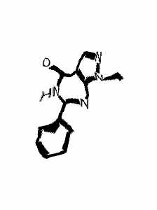 Cn1ncc2c(=O)[nH]c(-c3ccccc3)nc21